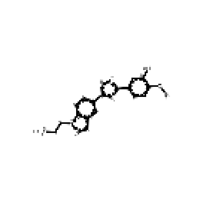 CCOc1ccc(-c2nc(-c3ccc4c(cnn4CCC(=O)O)c3)no2)cc1Cl